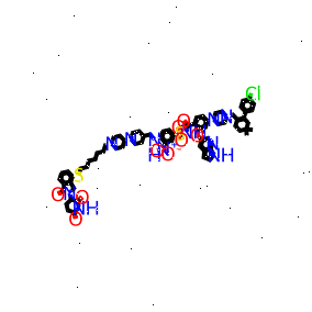 CC1(C)CCC(CN2CCN(c3ccc(C(=O)NS(=O)(=O)c4ccc(NCC5CCN(C6CCN(CCCCCCCSc7cccc8c7CN(C7CCC(=O)NC7=O)C8=O)CC6)CC5)c([N+](=O)[O-])c4)c(Oc4cnc5[nH]ccc5c4)c3)CC2)=C(c2ccc(Cl)cc2)C1